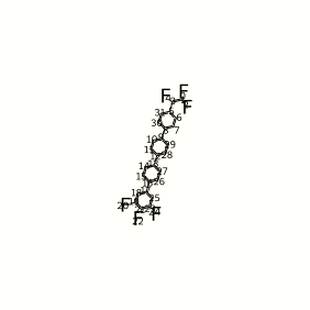 FC(F)=C(F)c1ccc(-c2ccc(-c3ccc(-c4cc(F)c(F)c(F)c4)cc3)cc2)cc1